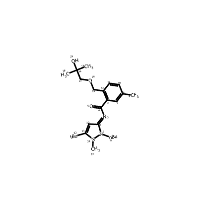 CCCCn1/c(=N/C(=O)c2cc(C(F)(F)F)ccc2COCC(C)(C)O)cc(C(C)(C)C)n1C